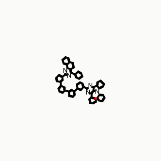 c1ccc(-c2nc(-c3cccc(-c4cccc(-c5cccc(-c6cccc(-c7nc(-c8ccccc8)c8c(n7)c7ccccc7n8-c7ccccc7)c6)c5)c4)c3)nc3c2ccc2ccccc23)cc1